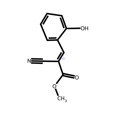 COC(=O)/C(C#N)=C/c1ccccc1O